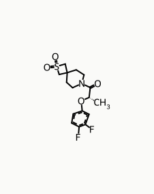 C[C@H](Oc1ccc(F)c(F)c1)C(=O)N1CCC2(CC1)CS(=O)(=O)C2